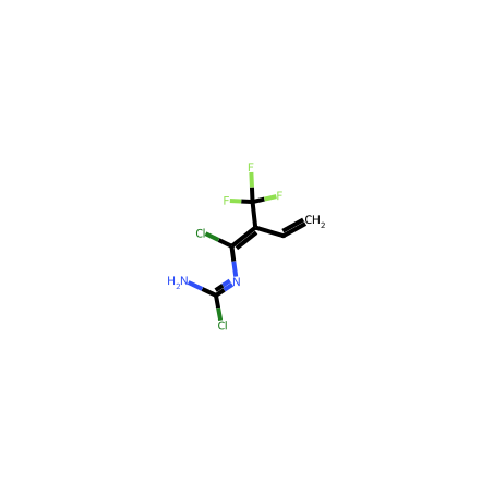 C=C/C(=C(Cl)\N=C(/N)Cl)C(F)(F)F